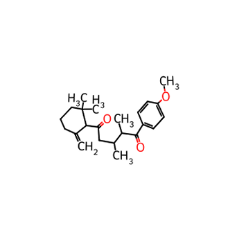 C=C1CCCC(C)(C)C1C(=O)CC(C)C(C)C(=O)c1ccc(OC)cc1